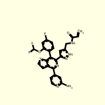 C=CC(=O)NCc1cc(-c2nc(-c3ccnc(N)c3)c3ccsc3c2-c2ccc(F)cc2OC(F)F)n[nH]1